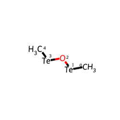 C[Te]O[Te]C